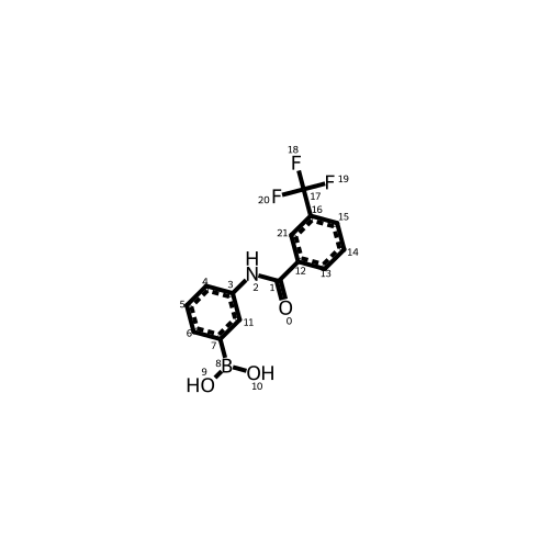 O=C(Nc1cccc(B(O)O)c1)c1cccc(C(F)(F)F)c1